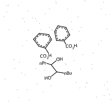 CCCCC(O)C(O)CCC.O=C(O)c1ccccc1.O=C(O)c1ccccc1